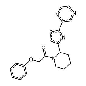 O=C(COc1ccccc1)N1CCCCC1c1csc(-c2cnccn2)n1